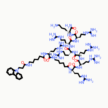 N=C(N)NCCC[C@@H](NC(=O)CCCCCNC(=O)CCn1c2ccccc2c2ccccc21)C(=O)NCCCCCC(=O)N[C@H](CCCNC(=N)N)C(=O)N[C@H](CCCNC(=N)N)C(=O)N[C@H](CCCNC(=N)N)C(=O)N[C@H](CCCNC(=N)N)C(=O)N[C@H](CCCNC(=N)N)C(=O)N[C@H](CCCNC(=N)N)C(=O)N[C@H](CCCCN)C(N)=O